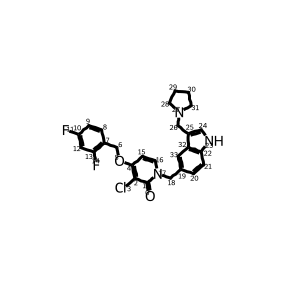 O=c1c(Cl)c(OCc2ccc(F)cc2F)ccn1Cc1ccc2[nH]cc(CN3CCCC3)c2c1